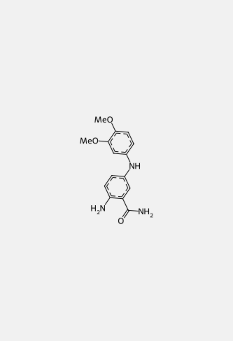 COc1ccc(Nc2ccc(N)c(C(N)=O)c2)cc1OC